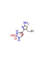 CC(C)Cc1sc(N)nc1-c1cc2oc1NP(=O)(O)N2